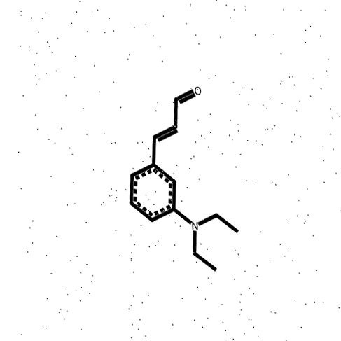 CCN(CC)c1cccc(C=CC=O)c1